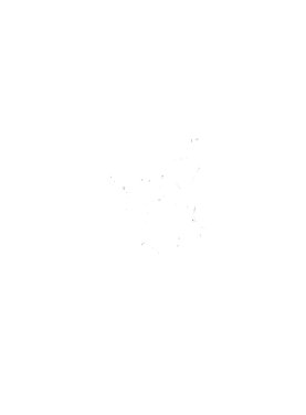 O=Cc1cccc2c1C(=O)OC2(c1ccc(O)cc1)c1ccc(O)cc1